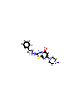 O=c1cc(N2CCNCC2)nc2sc(NCCc3ccccc3)nn12